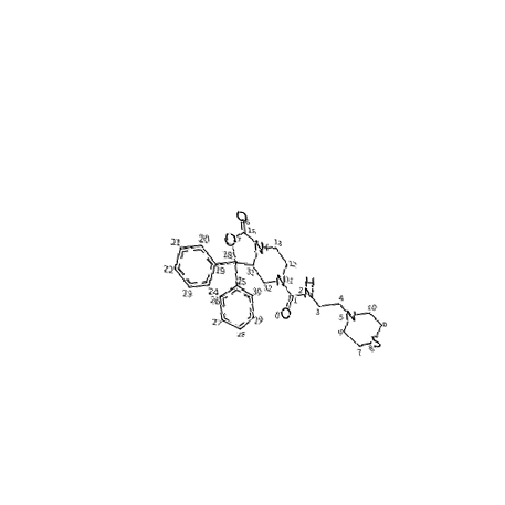 O=C(NCCN1CCSCC1)N1CCN2C(=O)OC(c3ccccc3)(c3ccccc3)C2C1